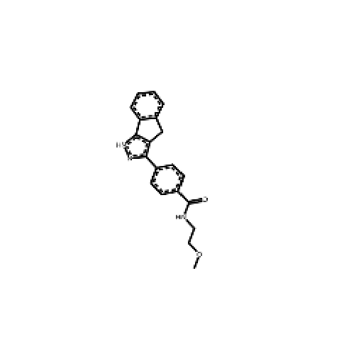 COCCNC(=O)c1ccc(-c2n[nH]c3c2Cc2ccccc2-3)cc1